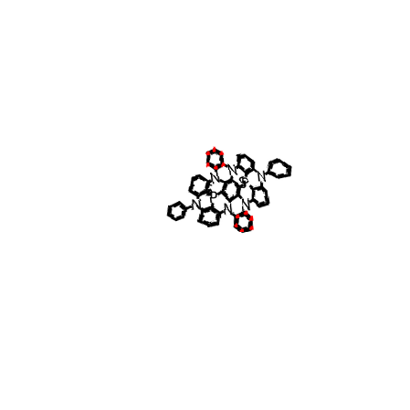 S=P12c3c4cccc3N(c3ccccc3)c3c5c6c(c(c31)N(c1ccccc1)c1cccc(c12)N4c1ccccc1)N(c1ccccc1)c1cccc2c1P6(=S)c1c(cccc1N5c1ccccc1)N2c1ccccc1